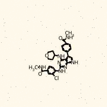 CNC(=O)c1ccc(-c2c[nH]c3nc(Nc4ccc(C(=O)NC)cc4Cl)nc(NC4CCOCC4)c23)cc1